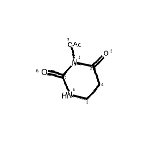 CC(=O)ON1C(=O)CCNC1=O